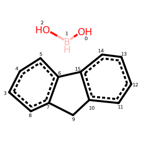 OBO.c1ccc2c(c1)Cc1ccccc1-2